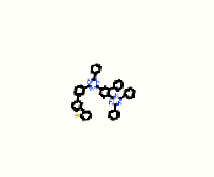 c1ccc(-c2nc(-c3cccc(-c4ccc5sc6ccccc6c5c4)c3)nc(-c3ccc(-c4nc(-c5ccccc5)nc(-c5ccccc5)n4)c(-c4ccccc4)c3)n2)cc1